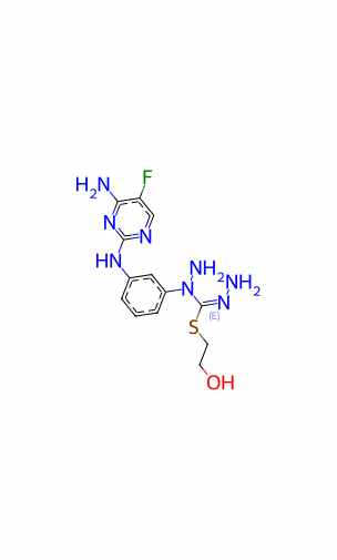 N/N=C(/SCCO)N(N)c1cccc(Nc2ncc(F)c(N)n2)c1